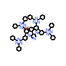 N#Cc1cccc(-c2c(-n3c4ccc(-c5nc(-c6ccccc6)nc(-c6ccccc6)n5)cc4c4cc(-c5nc(-c6ccccc6)nc(-c6ccccc6)n5)ccc43)cncc2-n2c3ccc(-c4nc(-c5ccccc5)nc(-c5ccccc5)n4)cc3c3cc(-c4nc(-c5ccccc5)nc(-c5ccccc5)n4)ccc32)c1